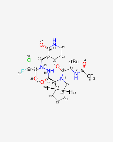 CC(C)(C)C(NC(=O)C(F)(F)F)C(=O)N1C[C@@H]2CCC[C@@H]2[C@H]1C(=O)NN(C[C@@H]1CCCNC1=O)C(=O)C(F)Cl